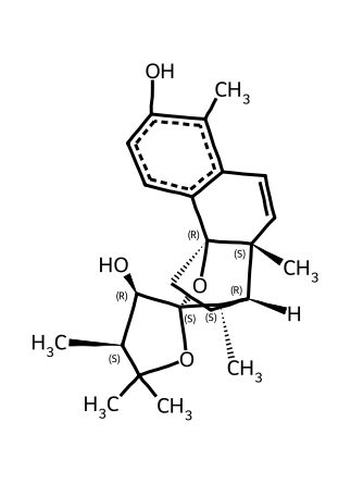 Cc1c(O)ccc2c1C=C[C@]1(C)[C@@H]3CC[C@]21O[C@@]1(OC(C)(C)[C@@H](C)[C@H]1O)[C@H]3C